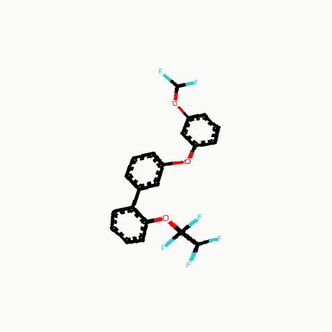 FC(F)Oc1cccc(Oc2cccc(-c3ccccc3OC(F)(F)C(F)F)c2)c1